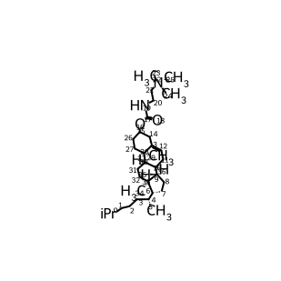 CC(C)CCC[C@@H](C)[C@H]1CC[C@H]2[C@@H]3CC=C4CC(OC(=O)NCC[N+](C)(C)C)CC[C@]4(C)[C@H]3CC[C@]12C